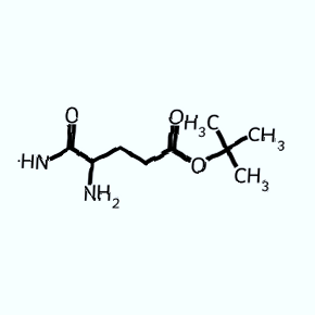 CC(C)(C)OC(=O)CCC(N)C([NH])=O